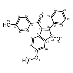 COc1ccc2c(C(=O)c3ccc(O)cc3)c(-c3ccccc3)[s+]([O-])c2c1